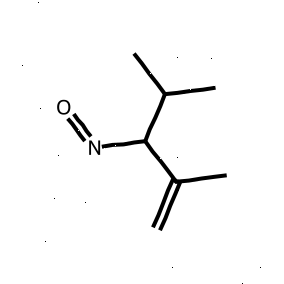 C=C(C)C(N=O)C(C)C